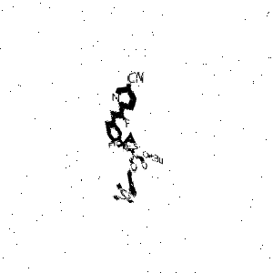 CC(C)(C)OC(=O)N(COCC[Si](C)(C)C)C1=NC(C)(c2cc(C=C(F)c3ccc(C#N)cn3)ccc2F)C2CC2(C(=O)O)S1